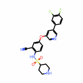 N#Cc1cc(Oc2cncc(-c3ccc(F)c(F)c3)c2)ccc1NS(=O)(=O)C1CCNCC1